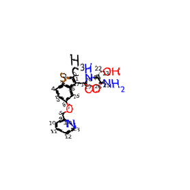 Cc1sc2ccc(OCc3ccccn3)cc2c1C(=O)N[C@H](CO)C(N)=O